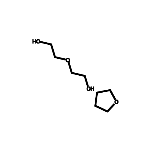 C1CCOC1.OCCOCCO